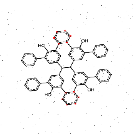 Oc1c(-c2ccccc2)cc(C(c2cc(-c3ccccc3)c(O)c(-c3ccccc3)c2)C(c2cc(-c3ccccc3)c(O)c(-c3ccccc3)c2)c2cc(-c3ccccc3)c(O)c(-c3ccccc3)c2)cc1-c1ccccc1